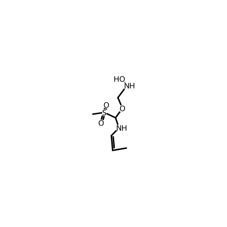 C/C=C\NC(OCNO)S(C)(=O)=O